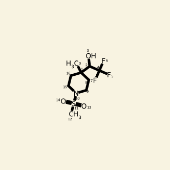 CC1(C(O)C(F)(F)F)CCN(S(C)(=O)=O)CC1